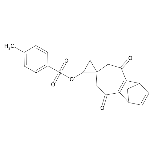 Cc1ccc(S(=O)(=O)OC2CC23CC(=O)C2=C(C(=O)C3)C3C=CC2C3)cc1